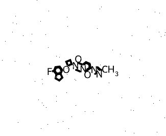 Cc1cn(-c2ccc3n(c2=O)CCN(C2CCC2Oc2ccc(F)c4c2CCC4)C3=O)cn1